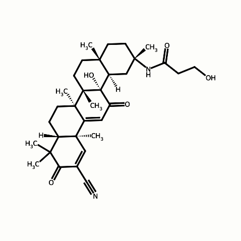 CC1(C)C(=O)C(C#N)=C[C@]2(C)C3=CC(=O)[C@]4(O)[C@@H]5C[C@@](C)(NC(=O)CCO)CC[C@@]5(C)CC[C@@]4(C)[C@]3(C)CC[C@@H]12